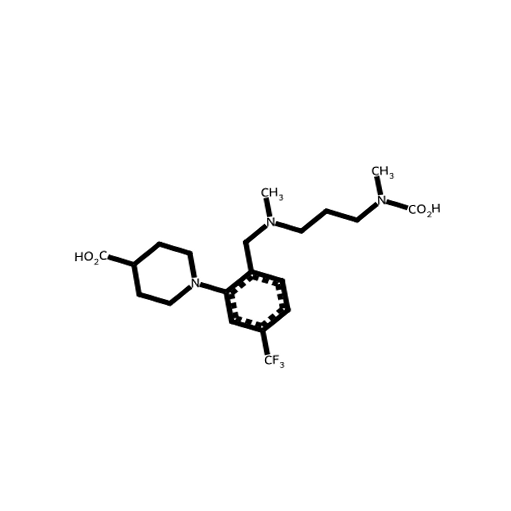 CN(CCCN(C)C(=O)O)Cc1ccc(C(F)(F)F)cc1N1CCC(C(=O)O)CC1